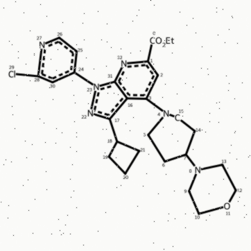 CCOC(=O)c1cc(N2CCC(N3CCOCC3)CC2)c2c(C3CCC3)nn(-c3ccnc(Cl)c3)c2n1